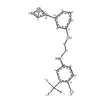 FC(F)(F)c1cc(NCCOc2cccc(-n3c4nn3-4)c2)ccc1Cl